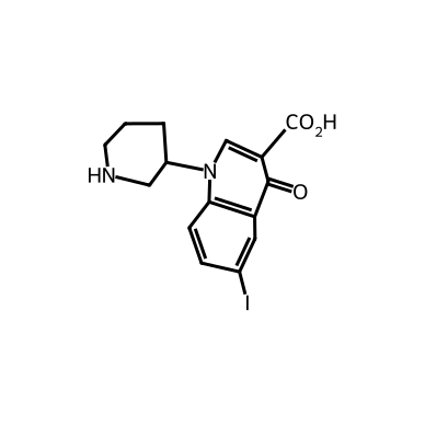 O=C(O)c1cn(C2CCCNC2)c2ccc(I)cc2c1=O